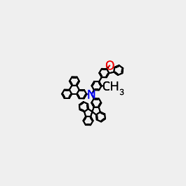 Cc1cc(N(c2ccc3c(c2)C2(c4ccccc4-c4ccccc42)c2ccccc2-3)c2ccc3c4ccccc4c4ccccc4c3c2)ccc1-c1ccc2oc3ccccc3c2c1